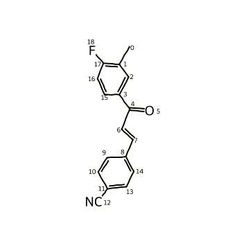 Cc1cc(C(=O)C=Cc2ccc(C#N)cc2)ccc1F